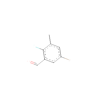 Cc1cc(Br)cc(C=O)c1F